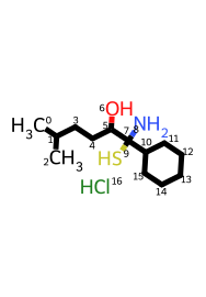 CC(C)CCC(O)C(N)(S)C1CCCCC1.Cl